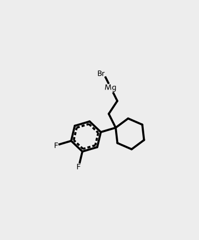 Fc1ccc(C2(C[CH2][Mg][Br])CCCCC2)cc1F